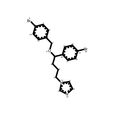 Brc1ccc(COC(CCCn2ccnc2)c2ccc(Br)cc2)cc1